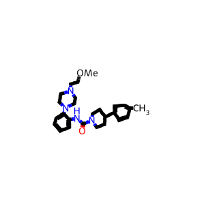 COCCN1CCN(c2ccccc2NC(=O)N2CCC(c3ccc(C)cc3)CC2)CC1